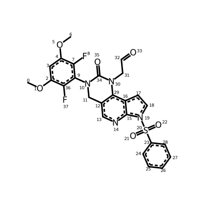 COc1cc(OC)c(F)c(N2Cc3cnc4c(ccn4S(=O)(=O)c4ccccc4)c3N(CC=O)C2=O)c1F